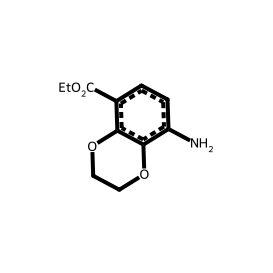 CCOC(=O)c1ccc(N)c2c1OCCO2